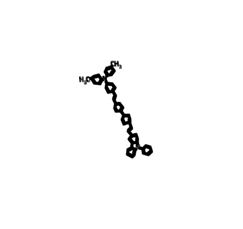 Cc1ccc(N(c2ccc(C)cc2)c2ccc(/C=C/c3ccc(-c4ccc(/C=C/c5ccc6c(c5)c5ccccc5n6-c5ccccc5)cc4)cc3)cc2)cc1